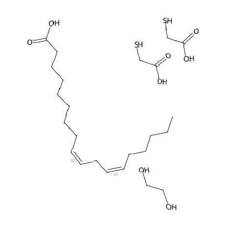 CCCCC/C=C\C/C=C\CCCCCCCC(=O)O.O=C(O)CS.O=C(O)CS.OCCO